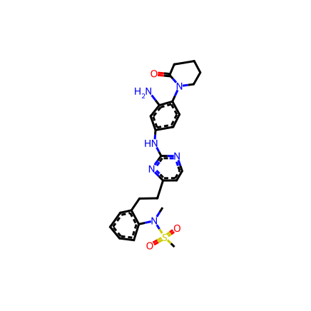 CN(c1ccccc1CCc1ccnc(Nc2ccc(N3CCCCC3=O)c(N)c2)n1)S(C)(=O)=O